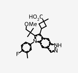 COCC(C)(C)c1c(C2CC(C)(C(=O)O)C2)c2cc3[nH]ncc3cc2n1-c1ccc(F)c(C)c1